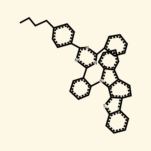 CCCCc1ccc(-c2nc(-c3ccccc3)nc(-c3ccccc3-n3c4ccccc4c4ccc5c6ccccc6sc5c43)n2)cc1